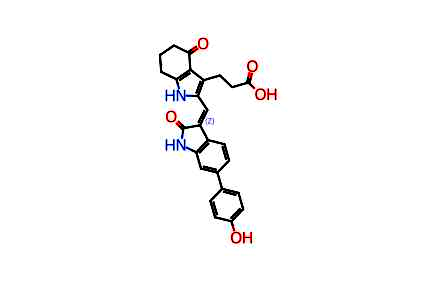 O=C(O)CCc1c(/C=C2\C(=O)Nc3cc(-c4ccc(O)cc4)ccc32)[nH]c2c1C(=O)CCC2